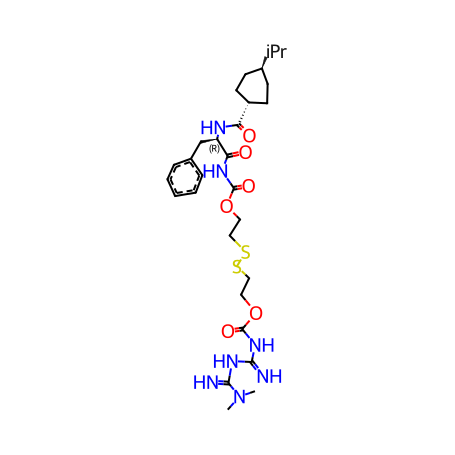 CC(C)[C@H]1CC[C@H](C(=O)N[C@H](Cc2ccccc2)C(=O)NC(=O)OCCSSCCOC(=O)NC(=N)NC(=N)N(C)C)CC1